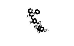 O=C(N[C@@H]1[C@@H]2C[C@@H]3C[C@H]1C[C@@](O)(C3)C2)c1ccc(Cc2cn(-c3ccccc3)c3ncccc3c2=O)c(F)c1